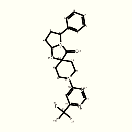 O=C1N2C(CCC2c2ccccc2)OC12CCN(c1cc(C(F)(F)F)ncn1)CC2